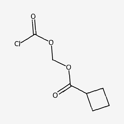 O=C(Cl)OCOC(=O)C1CCC1